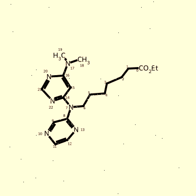 CCOC(=O)CCCCCCN(c1cnccn1)c1cc(N(C)C)ncn1